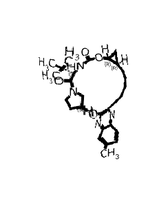 Cc1ccc2nc3c(nc2c1)O[C@@H]1CCN(C1)C(=O)[C@H](C(C)(C)C)NC(=O)O[C@@H]1C[C@H]1CCCCC3